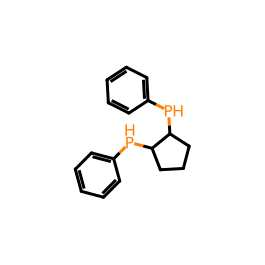 c1ccc(PC2CCCC2Pc2ccccc2)cc1